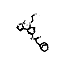 Cn1nccc1-c1cc(NC(=O)CC2CC3CCC2C3)ccc1OCCN